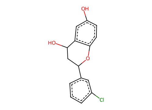 Oc1ccc2c(c1)C(O)CC(c1cccc(Cl)c1)O2